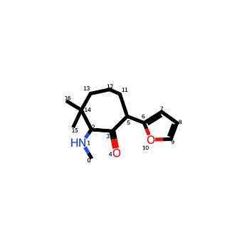 CNC1C(=O)C(c2ccco2)CCCC1(C)C